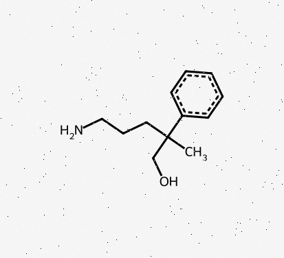 CC(CO)(CCCN)c1ccccc1